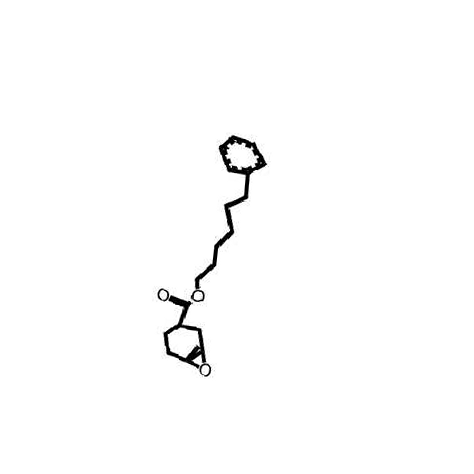 CC12CCC(C(=O)OCCCCCCc3ccccc3)CC1O2